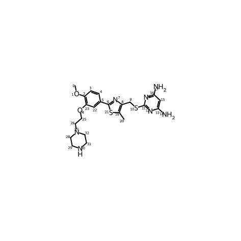 COc1ccc(-c2nc(CSc3nc(N)cc(N)n3)c(C)s2)cc1OCCN1CCNCC1